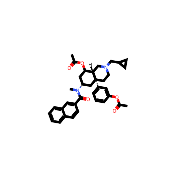 CC(=O)Oc1cccc([C@@]23CCN(CC4CC4)C[C@H]2C(OC(C)=O)C[C@@H](N(C)C(=O)c2ccc4ccccc4c2)C3)c1